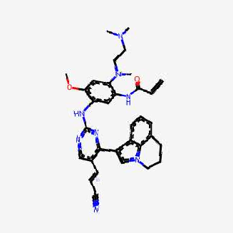 C=CC(=O)Nc1cc(Nc2ncc(/C=C/C#N)c(-c3cn4c5c(cccc35)CCC4)n2)c(OC)cc1N(C)CCN(C)C